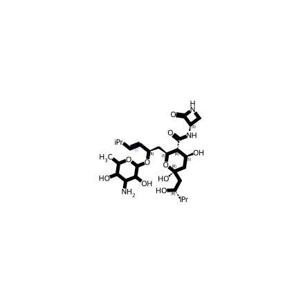 CC(C)/C=C/[C@@H](C[C@@H]1O[C@](O)(C[C@@H](O)C(C)C)C[C@H](O)[C@H]1C(=O)N[C@H]1CNC1=O)OC1OC(C)C(O)C(N)C1O